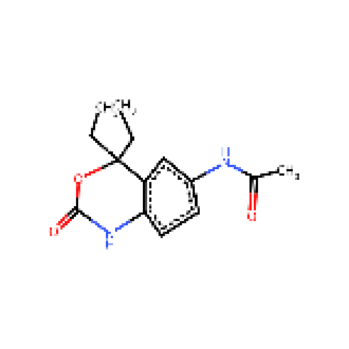 CCC1(CC)OC(=O)Nc2ccc(NC(C)=O)cc21